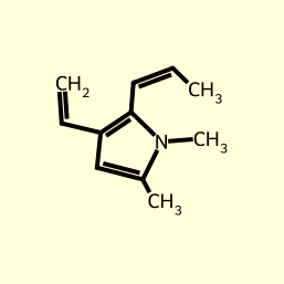 C=Cc1cc(C)n(C)c1/C=C\C